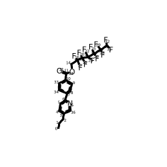 CCCc1ccc(-c2ccc(C(=O)OCC(F)(F)C(F)(F)C(F)(F)C(F)(F)C(F)(F)C(F)F)cc2)nc1